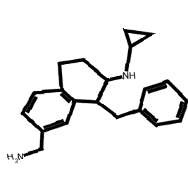 NCc1ccc2c(c1)C(Cc1ccccc1)C(NC1CC1)CC2